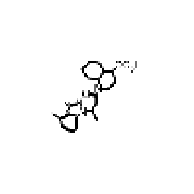 Cc1cccc2c1nnn2C(C)CC(=O)N1CCC(C(=O)O)C2CCCCC21